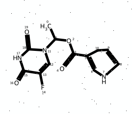 CC(OC(=O)C1=CNC=CC1)n1cc(F)c(=O)[nH]c1=O